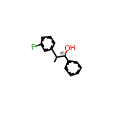 CC(c1cccc(F)c1)[C@@H](O)c1ccccc1